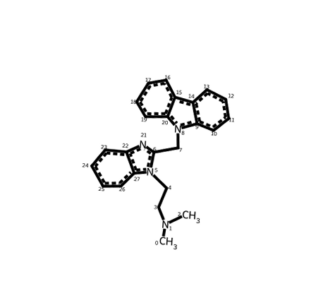 CN(C)CCn1c(Cn2c3ccccc3c3ccccc32)nc2ccccc21